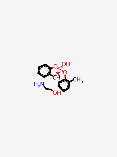 Cc1ccccc1OP(=O)(O)Oc1ccccc1C.NCCO